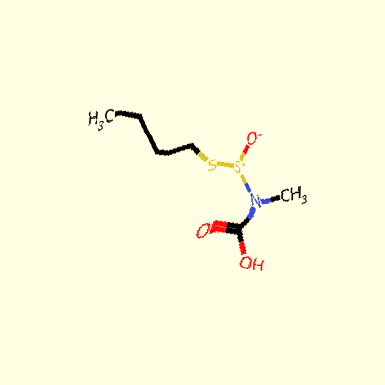 CCCCS[S+]([O-])N(C)C(=O)O